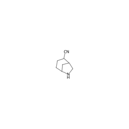 N#CC1CCC2CC1CN2